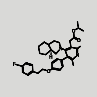 Cc1nc(C)c(-c2ccc(OCCc3ccc(F)cc3)cc2)c(N2CCC3CCCC[C@@H]3C2)c1CC(=O)OC(C)C